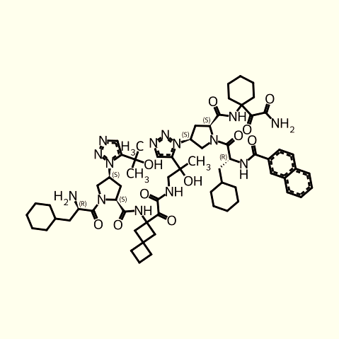 CC(C)(O)c1cnnn1[C@H]1C[C@@H](C(=O)NC2(C(=O)C(=O)NCC(C)(O)c3cnnn3[C@H]3C[C@@H](C(=O)NC4(C(=O)C(N)=O)CCCCC4)N(C(=O)[C@@H](CC4CCCCC4)NC(=O)c4ccc5ccccc5c4)C3)CC3(CCC3)C2)N(C(=O)[C@H](N)CC2CCCCC2)C1